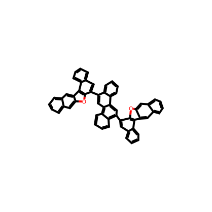 c1ccc2cc3c(cc2c1)oc1c(-c2cc4c5ccccc5c(-c5cc6ccccc6c6c5oc5cc7ccccc7cc56)cc4c4ccccc24)cc2ccccc2c13